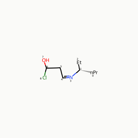 CCC[C@@H](CC)/N=C\CC(O)Cl